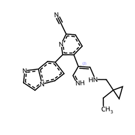 CCC1(CN/C=C(\C=N)c2ccc(C#N)nc2-c2ccn3ccnc3c2)CC1